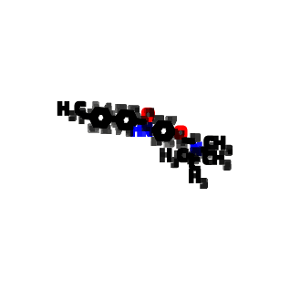 CCc1ccc(-c2ccc(C(=O)Nc3ccc(OCCN(C(C)C)C(C)C)cc3)cc2)cc1